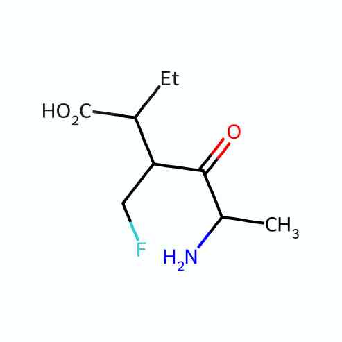 CCC(C(=O)O)C(CF)C(=O)C(C)N